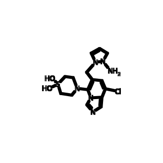 NN1CC=CN1Cc1cc(Cl)c2cncn2c1N1CCS(O)(O)CC1